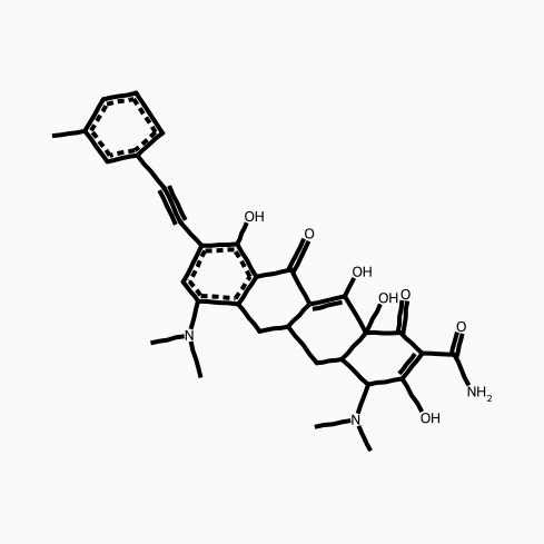 Cc1cccc(C#Cc2cc(N(C)C)c3c(c2O)C(=O)C2=C(O)C4(O)C(=O)C(C(N)=O)=C(O)C(N(C)C)C4CC2C3)c1